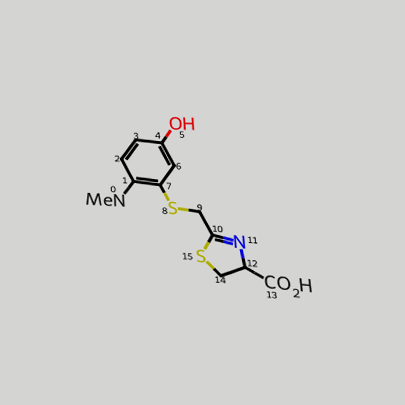 CNc1ccc(O)cc1SCC1=NC(C(=O)O)CS1